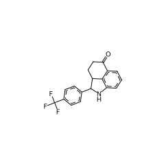 O=C1CCC2c3c(cccc31)NC2c1ccc(C(F)(F)F)cc1